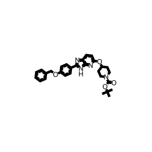 CC(C)(C)OC(=O)N1CCC(Oc2ccc3nc(-c4ccc(OCc5ccccc5)cc4)[nH]c3n2)CC1